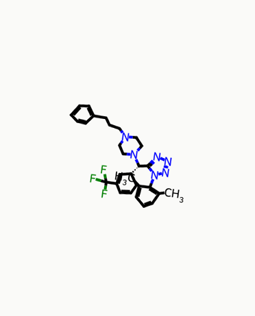 Cc1cccc(C)c1-n1nnnc1[C@H](C1C=C(C(F)(F)F)C=CC1)N1CCN(CCCc2ccccc2)CC1